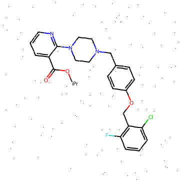 CC(C)OC(=O)c1cccnc1N1CCN(Cc2ccc(OCc3c(F)cccc3Cl)cc2)CC1